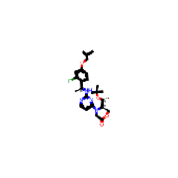 CC(C)COc1ccc([C@H](C)Nc2nccc(N3CC(=O)OC[C@@H]3[C@@H](C)OC(C)(C)C)n2)c(F)c1